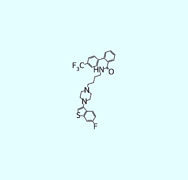 O=C(NCCCCN1CCN(c2csc3cc(F)ccc23)CC1)c1ccccc1-c1ccc(C(F)(F)F)cc1